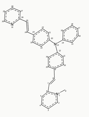 C[n+]1ccccc1/C=C/c1ccc(N(c2ccccc2)c2ccc(/C=C/c3ccccn3)cc2)cc1